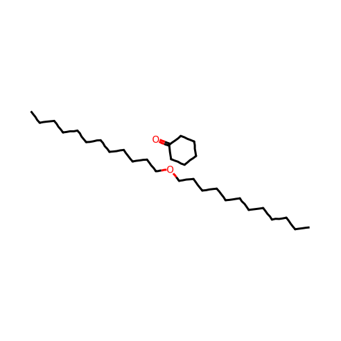 CCCCCCCCCCCCOCCCCCCCCCCCC.O=C1CCCCC1